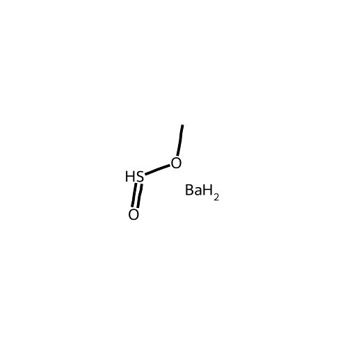 CO[SH]=O.[BaH2]